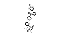 Cc1ccc([C@@H]2CCON2C(=O)C2CCN(c3nccc(N4C(=O)CCC4(C)C)n3)CC2)cn1